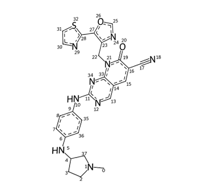 CN1CCC(Nc2ccc(Nc3ncc4cc(C#N)c(=O)n(Cc5ncoc5-c5nccs5)c4n3)cc2)C1